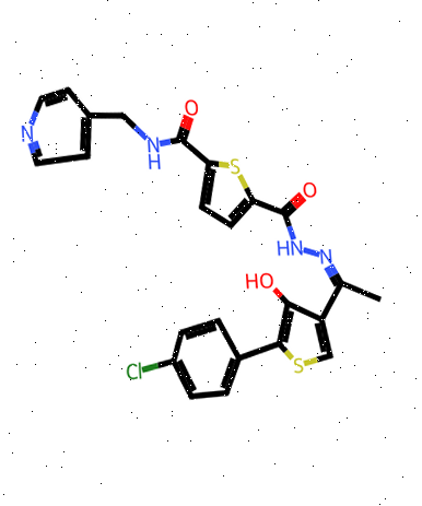 CC(=NNC(=O)c1ccc(C(=O)NCc2ccncc2)s1)c1csc(-c2ccc(Cl)cc2)c1O